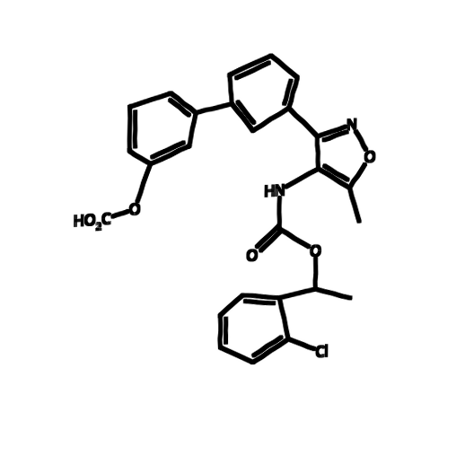 Cc1onc(-c2cccc(-c3cccc(OC(=O)O)c3)c2)c1NC(=O)OC(C)c1ccccc1Cl